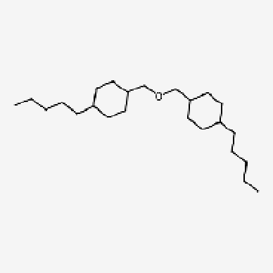 CCCCCC1CCC(COCC2CCC(CCCCC)CC2)CC1